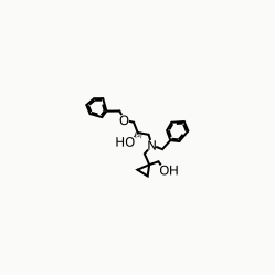 OCC1(CN(Cc2ccccc2)C[C@H](O)COCc2ccccc2)CC1